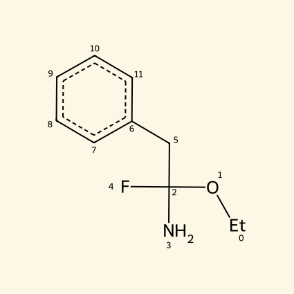 CCOC(N)(F)Cc1ccccc1